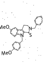 COc1ccc(Cn2c3c(c4cc(OC)ccc42)CCN(Cc2ccccc2)C3=S)cc1